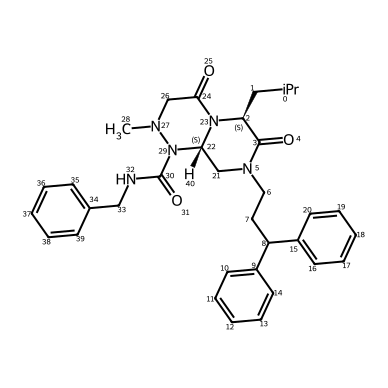 CC(C)C[C@H]1C(=O)N(CCC(c2ccccc2)c2ccccc2)C[C@H]2N1C(=O)CN(C)N2C(=O)NCc1ccccc1